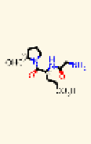 NCC(=O)N[C@@H](CCC(=O)O)C(=O)N1CCC[C@H]1[C]=O